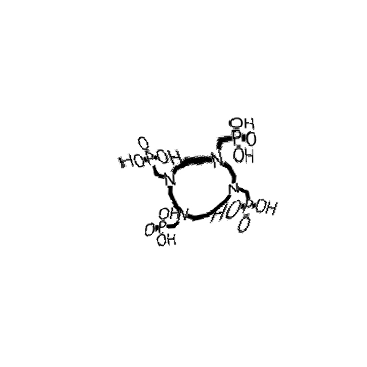 O=P(O)(O)CN1CCCN(CP(=O)(O)O)CCN(CP(=O)(O)O)CCCN(CP(=O)(O)O)CC1